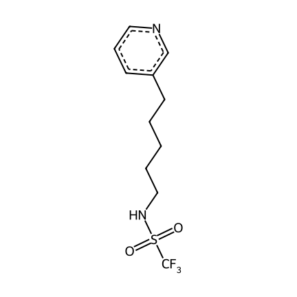 O=S(=O)(NCCCCCc1cccnc1)C(F)(F)F